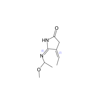 C/C=C1/CC(=O)N/C1=N/C(C)OC